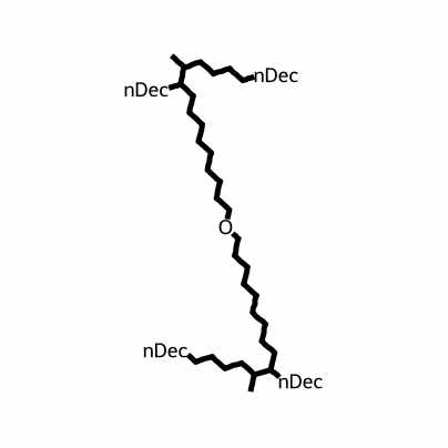 CCCCCCCCCCCCCCC(C)C(CCCCCCCCCC)CCCCCCCCCOCCCCCCCCCC(CCCCCCCCCC)C(C)CCCCCCCCCCCCCC